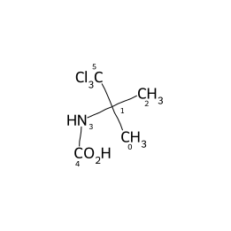 CC(C)(NC(=O)O)C(Cl)(Cl)Cl